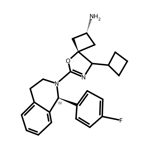 N[C@H]1C[C@]2(C1)OC(N1CCc3ccccc3[C@@H]1c1ccc(F)cc1)=NC2C1CCC1